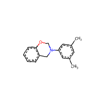 Cc1cc(C)cc(N2COc3ccccc3C2)c1